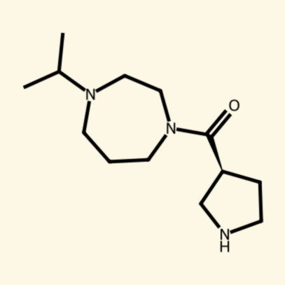 CC(C)N1CCCN(C(=O)[C@H]2CCNC2)CC1